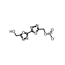 O=[N+]([O-])OCc1nnc(-c2nnc(CO)o2)o1